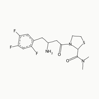 CN(C)C(=O)C1SCCN1C(=O)CC(N)Cc1cc(F)c(F)cc1F